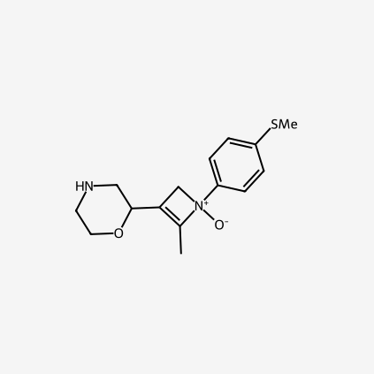 CSc1ccc([N+]2([O-])CC(C3CNCCO3)=C2C)cc1